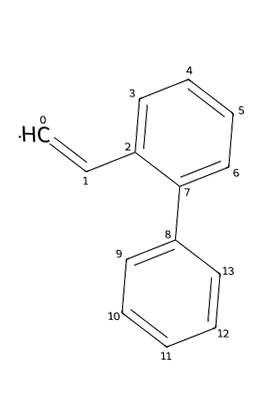 [CH]=Cc1ccccc1-c1ccccc1